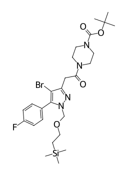 CC(C)(C)OC(=O)N1CCN(C(=O)Cc2nn(COCC[Si](C)(C)C)c(-c3ccc(F)cc3)c2Br)CC1